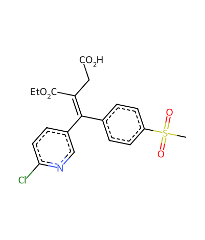 CCOC(=O)C(CC(=O)O)=C(c1ccc(S(C)(=O)=O)cc1)c1ccc(Cl)nc1